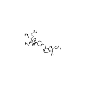 CCOC[C@H](CC(C)C)N(C)S(=O)(=O)c1ccc(Cc2nccc3[nH]c(C)nc23)cc1